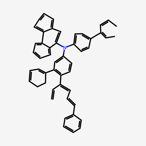 C=C/C(=C\C=C\c1ccccc1)c1ccc(N(c2ccc(C(/C=C\C)=C/C)cc2)c2cc3ccccc3c3ccccc23)cc1C1=CC=CCC1